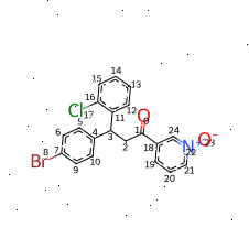 O=C(CC(c1ccc(Br)cc1)c1ccccc1Cl)c1ccc[n+]([O-])c1